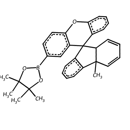 CC12C=CC=CC1C1(c3ccccc3Oc3ccc(B4OC(C)(C)C(C)(C)O4)cc31)c1ccccc12